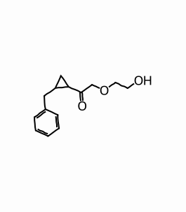 O=C(COCCO)C1CC1Cc1ccccc1